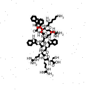 N=C(N)NCCC[C@H](NC(=O)[C@H](CCCNC(=N)N)NC(=O)[C@H](Cc1c[nH]c2ccccc12)NC(=O)[C@H](Cc1c[nH]c2ccccc12)NC(=O)[C@H](CCCCN)NC(=O)[C@H](Cc1c[nH]c2ccccc12)NC(=O)[C@H](Cc1c[nH]c2ccccc12)NC(=O)[C@H](CCCNC(=N)N)NC(=O)[C@@H](N)CCCCN)C(=O)N[C@@H](CS)C(=O)O